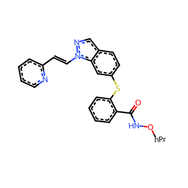 CCCONC(=O)c1ccccc1Sc1ccc2cnn(C=Cc3ccccn3)c2c1